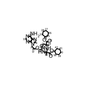 C[C@H](Cn1cnc2c(N)ncnc21)OCP(=O)(NC(C)(C)C(=O)OC1CCCCC1)NC(C)(C)C(=O)OC1CCCCC1